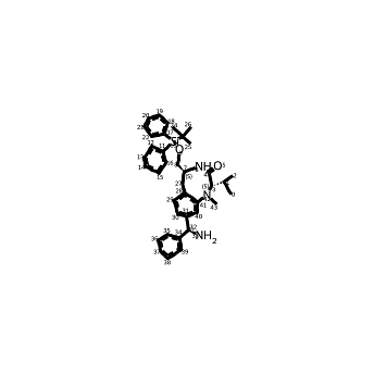 CC(C)[C@H]1C(=O)N[C@H](CO[Si](c2ccccc2)(c2ccccc2)C(C)(C)C)Cc2ccc([C@@H](N)c3ccccc3)cc2N1C